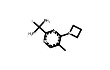 Cc1cnc(C(F)(P)P)nc1N1CCC1